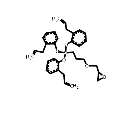 C=CCc1ccccc1O[Si](CCCOCC1CO1)(Oc1ccccc1CC=C)Oc1ccccc1CC=C